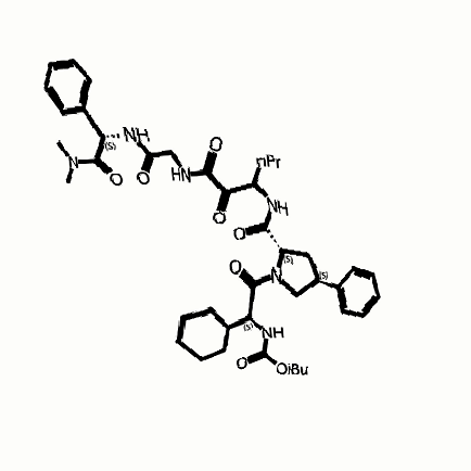 CCCC(NC(=O)[C@@H]1C[C@@H](c2ccccc2)CN1C(=O)[C@@H](NC(=O)OCC(C)C)C1CCCCC1)C(=O)C(=O)NCC(=O)N[C@H](C(=O)N(C)C)c1ccccc1